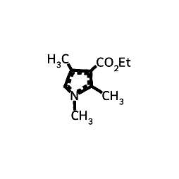 CCOC(=O)c1c(C)cn(C)c1C